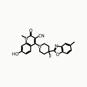 Cc1ccc2oc(C3(F)CCN(c4c(C#N)c(=O)n(C)c5cc(O)ccc45)CC3)nc2c1